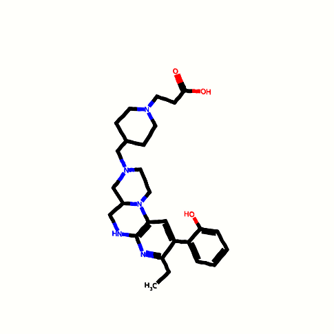 CCc1nc2c(cc1-c1ccccc1O)N1CCN(CC3CCN(CCC(=O)O)CC3)CC1CN2